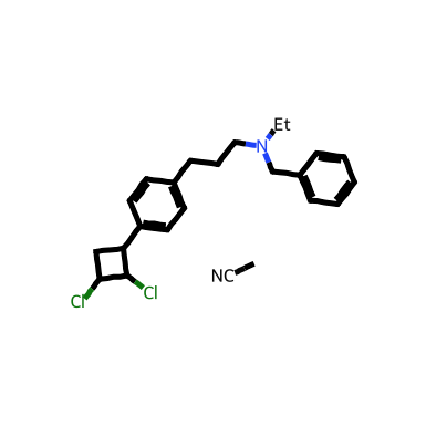 CC#N.CCN(CCCc1ccc(C2CC(Cl)C2Cl)cc1)Cc1ccccc1